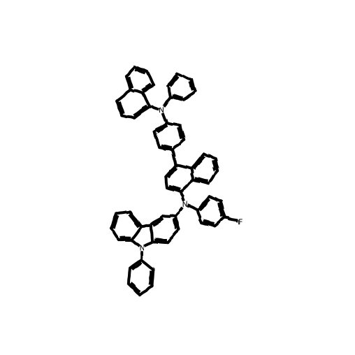 Fc1ccc(N(c2ccc3c(c2)c2ccccc2n3-c2ccccc2)c2ccc(-c3ccc(N(c4ccccc4)c4cccc5ccccc45)cc3)c3ccccc23)cc1